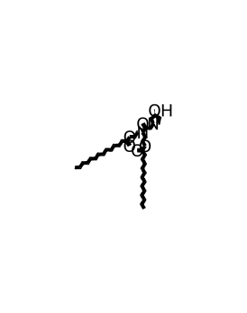 CCCCCCCCCCCCCC(=O)OCCN(CCOC(=O)CCCCCCCCCCCCC)C(=O)CN1CC[C@@H](O)C1